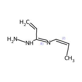 C=C/C(=N\C=C/C)NN